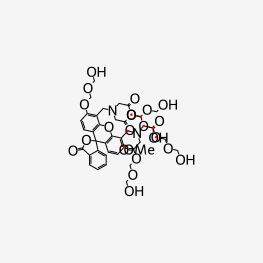 COc1ccc2c(c1CN(CC(=O)OCOCO)CC(=O)OCOCO)Oc1c(ccc(OCOCO)c1CN(CC(=O)OCOCO)CC(=O)OCOCO)C21OC(=O)c2ccccc21